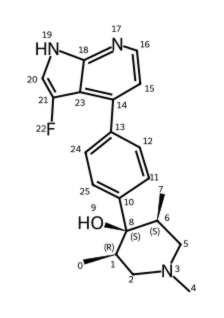 C[C@@H]1CN(C)C[C@H](C)[C@@]1(O)c1ccc(-c2ccnc3[nH]cc(F)c23)cc1